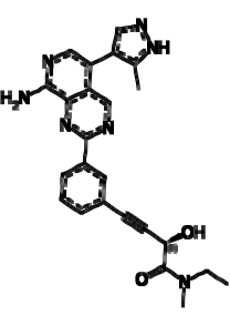 CCN(C)C(=O)[C@H](O)C#Cc1cccc(-c2ncc3c(-c4cn[nH]c4C)cnc(N)c3n2)c1